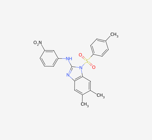 Cc1ccc(S(=O)(=O)n2c(Nc3cccc([N+](=O)[O-])c3)nc3cc(C)c(C)cc32)cc1